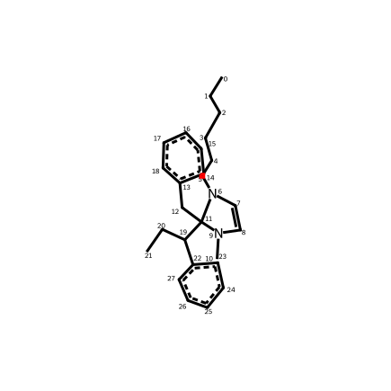 CCCCCCN1C=CN(C)C1(Cc1ccccc1)C(CC)c1ccccc1